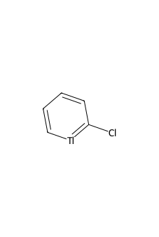 Cl[C]1=[Tl][CH]=CC=C1